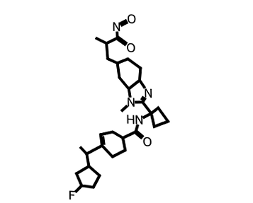 CC(CC1CCC2N=C(C3(NC(=O)C4CC=C(C(C)C5CCC(F)C5)CC4)CCC3)N(C)C2C1)C(=O)N=O